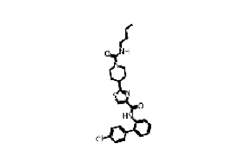 CCCCNC(=O)N1CCC(c2nc(C(=O)Nc3ccccc3-c3ccc(Cl)cc3)cs2)CC1